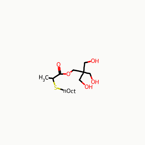 CCCCCCCCSC(C)C(=O)OCC(CO)(CO)CO